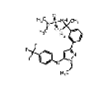 CCn1nc(-c2cccc(C(C)(C)NS(=O)(=O)N(C)C)c2)cc1Oc1ccc(C(F)(F)F)cc1